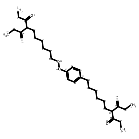 CCC(=O)C(CCCCCCOOc1ccc(CCCCCCC(C(=O)CC)C(=O)CC)cc1)C(=O)CC